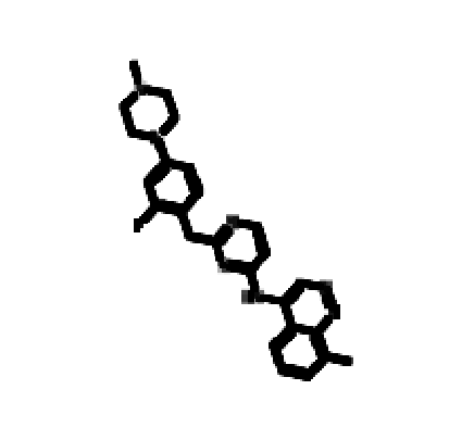 Cc1cccc2c(Nc3ccnc(Cc4ccc(N5CCN(C)CC5)cc4F)n3)cnnc12